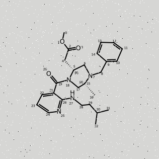 COC(=O)C[C@@H]1CN(Cc2ccccc2)[C@H](C)CN1C(=O)c1cccnc1NCCC(C)C